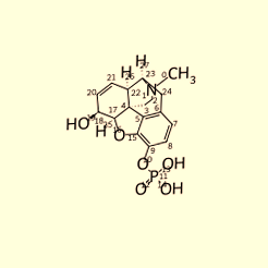 CN1CC[C@]23c4c5ccc(OP(=O)(O)O)c4O[C@H]2[C@@H](O)C=C[C@H]3[C@H]1C5